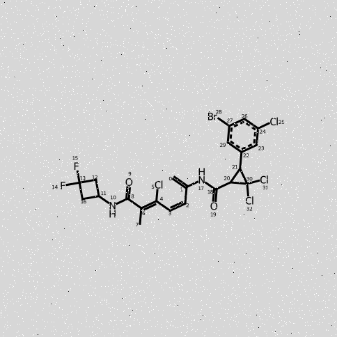 C=C(/C=C\C(Cl)=C(/C)C(=O)NC1CC(F)(F)C1)NC(=O)C1C(c2cc(Cl)cc(Br)c2)C1(Cl)Cl